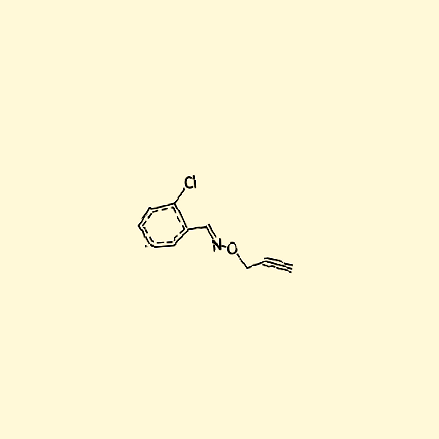 C#CCO/N=C/c1c[c]ccc1Cl